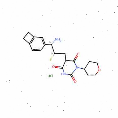 Cl.N[C@@H](c1ccc2c(c1)CC2)[C@@H](F)CC1C(=O)NC(=O)N(C2CCOCC2)C1=O